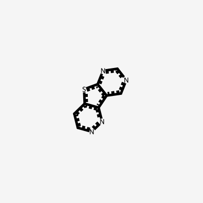 c1cc2sc3ncncc3c2nn1